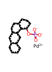 O=P([O-])([O-])Oc1cccc2ccc3cc4ccccc4cc3c12.[Pd+2]